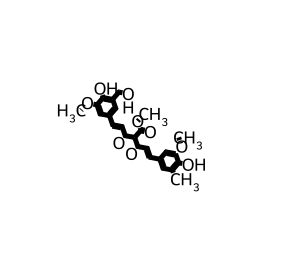 COC(=O)C(C(=O)/C=C/c1cc(C)c(O)c(OC)c1)C(=O)/C=C/c1cc(CO)c(O)c(OC)c1